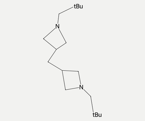 CC(C)(C)CN1CC(CC2CN(CC(C)(C)C)C2)C1